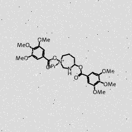 CCC[N+]1(OC(=O)c2cc(OC)c(OC)c(OC)c2)CCCC(OC(=O)c2cc(OC)c(OC)c(OC)c2)NC1